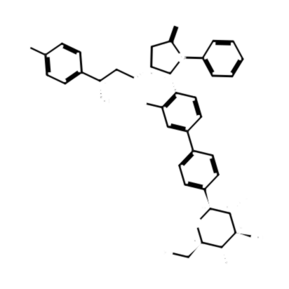 OC[C@H]1O[C@@H](c2ccc(-c3ccc([C@@H]4[C@H](CC[C@H](O)c5ccc(F)cc5)CC(=S)N4c4ccccc4)c(O)c3)cc2)[C@H](O)[C@@H](O)[C@@H]1O